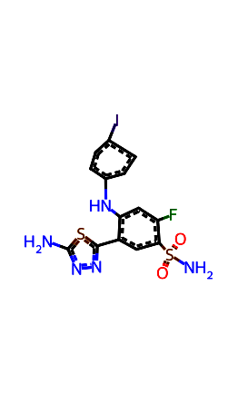 Nc1nnc(-c2cc(S(N)(=O)=O)c(F)cc2Nc2ccc(I)cc2)s1